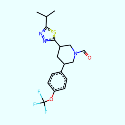 CC(C)c1nnc(C2CC(c3ccc(OC(F)(F)F)cc3)CN(C=O)C2)s1